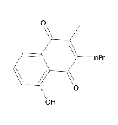 CCCC1=C(C)C(=O)c2cccc(O)c2C1=O